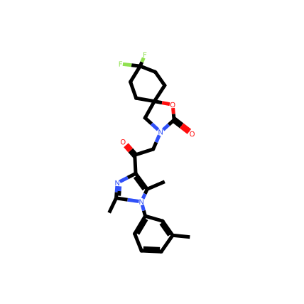 Cc1cccc(-n2c(C)nc(C(=O)CN3CC4(CCC(F)(F)CC4)OC3=O)c2C)c1